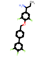 CCC(N)c1cc(F)c(OCc2ccc(-c3cc(F)c(F)c(F)c3)cc2)c(F)c1